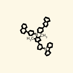 Cc1cc(-c2cccc(-n3c4ccccc4c4ccccc43)c2)cc(C)c1N(c1ccc(-c2ccc3ccccc3c2)cc1)c1ccc(-c2cccc3ccccc23)cc1